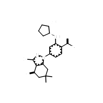 CCc1nn(-c2ccc(C(N)=O)c(N[C@H]3CCC[C@@H]3O)c2)c2c1C(=O)CC(C)(C)C2